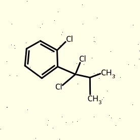 CC(C)C(Cl)(Cl)c1ccccc1Cl